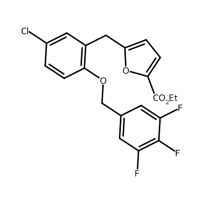 CCOC(=O)c1ccc(Cc2cc(Cl)ccc2OCc2cc(F)c(F)c(F)c2)o1